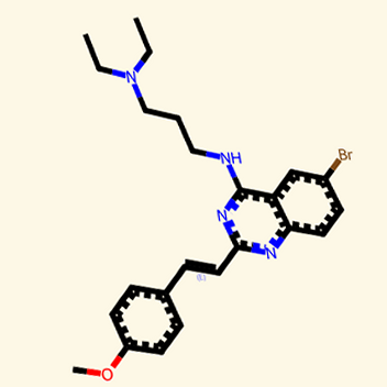 CCN(CC)CCCNc1nc(/C=C/c2ccc(OC)cc2)nc2ccc(Br)cc12